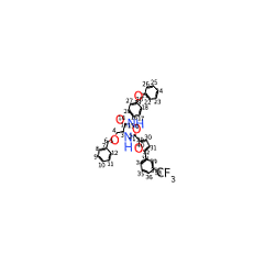 O=C(NC(COCc1ccccc1)C(=O)Nc1ccc(Oc2ccccc2)cc1)c1ccc(-c2cccc(C(F)(F)F)c2)o1